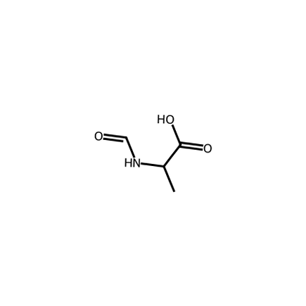 CC(NC=O)C(=O)O